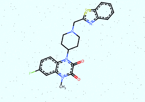 Cn1c(=O)c(=O)n(C2CCN(Cc3nc4ccccc4s3)CC2)c2ccc(F)cc21